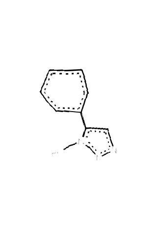 On1nncc1-c1ccccc1